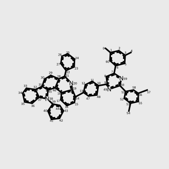 Cc1cc(C)cc(-c2cc(-c3ccc(-c4cccc5c4nc(-c4ccccc4)c4ccc6c7ccccc7n(-c7ccccc7)c6c45)cc3)nc(-c3cc(C)cc(C)c3)n2)c1